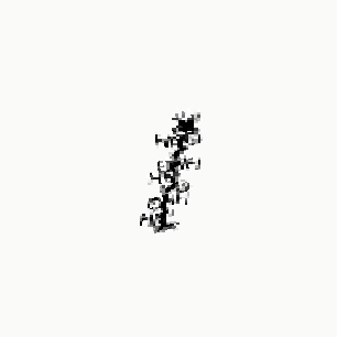 CC(C)NCC(=O)NCC(=O)NCC(=O)NCCNC(=O)OC(C)(C)C